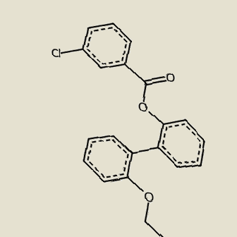 CCOc1ccccc1-c1ccccc1OC(=O)c1cccc(Cl)c1